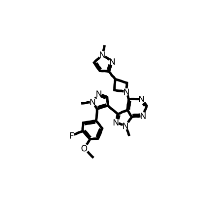 COc1ccc(-c2c(-c3nn(C)c4ncnc(N5CC(c6ccn(C)n6)C5)c34)cnn2C)cc1F